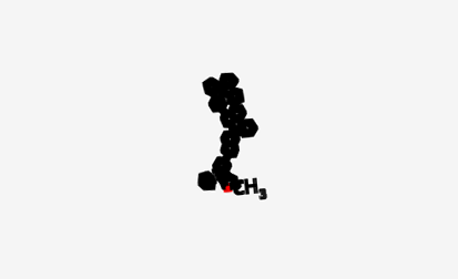 Cc1ccc2c(c1)c1cc(-c3ccc4cc(N(c5ccccc5)c5ccc(-c6ccc7c(c6)C(c6ccccc6)(c6ccccc6)c6ccccc6-7)c6ccccc56)ccc4c3)ccc1n2-c1ccccc1